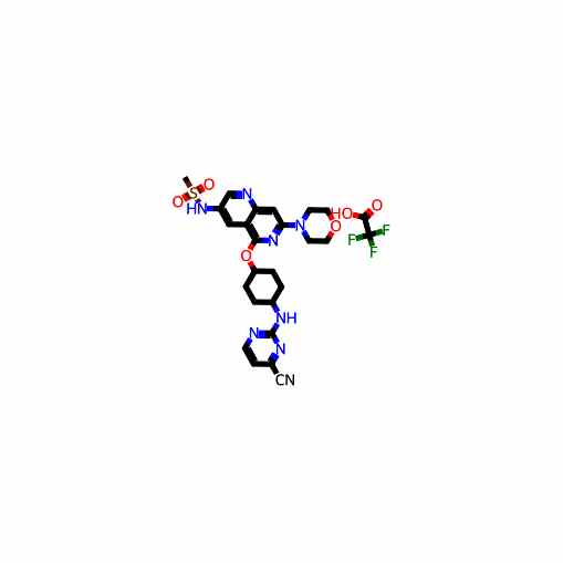 CS(=O)(=O)Nc1cnc2cc(N3CCOCC3)nc(OC3CCC(Nc4nccc(C#N)n4)CC3)c2c1.O=C(O)C(F)(F)F